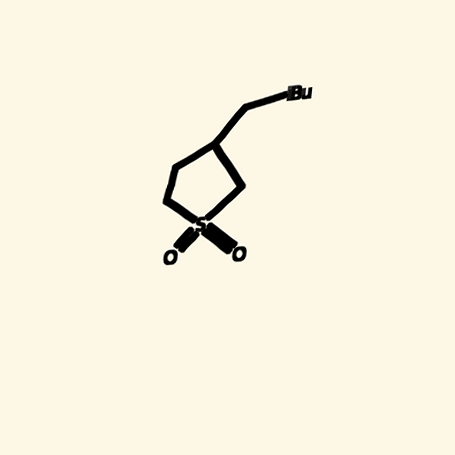 CCC(C)CC1CCS(=O)(=O)C1